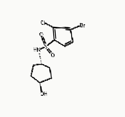 O=S(=O)(N[C@H]1CC[C@H](O)CC1)c1ccc(Br)cc1Cl